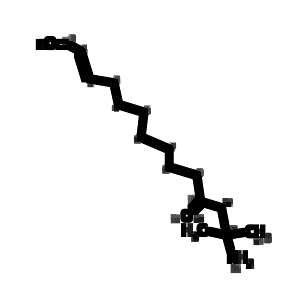 CCCCCCCCC=CCCCCCCCC(=O)CC(C)(C)N